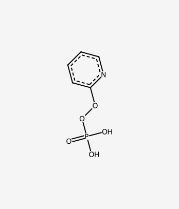 O=P(O)(O)OOc1ccccn1